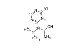 CC(O)N(c1ncnc(Cl)n1)C(C)O